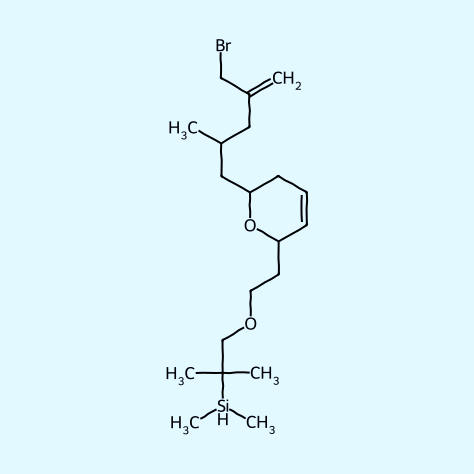 C=C(CBr)CC(C)CC1CC=CC(CCOCC(C)(C)[SiH](C)C)O1